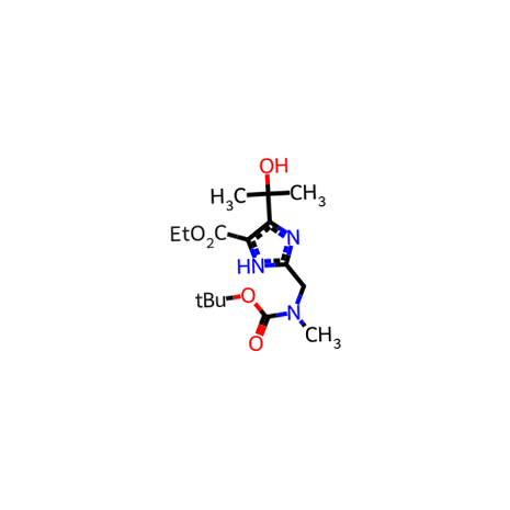 CCOC(=O)c1[nH]c(CN(C)C(=O)OC(C)(C)C)nc1C(C)(C)O